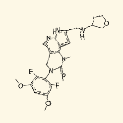 COc1cc(OC)c(F)c(N2Cc3cnc4[nH]c(CNC5CCOC5)cc4c3N(C)/C2=P/C)c1F